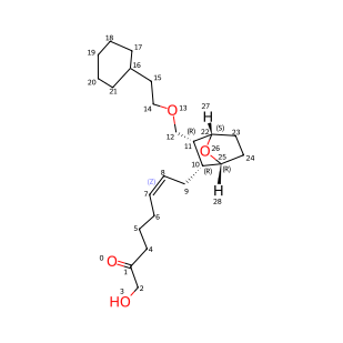 O=C(CO)CCC/C=C\C[C@@H]1[C@H](COCCC2CCCCC2)[C@@H]2CC[C@H]1O2